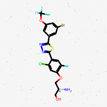 N[C@H](CO)COc1cc(Cl)c(-c2nnc(-c3cc(Br)cc(OC(F)(F)F)c3)s2)cc1F